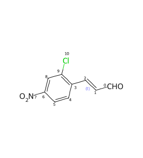 O=C/C=C/c1ccc([N+](=O)[O-])cc1Cl